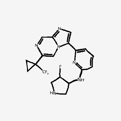 FC1CNCC1Nc1cccc(-c2cnc3cnc(C4(C(F)(F)F)CC4)cn23)n1